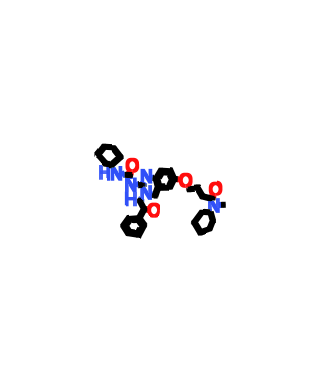 CN(C(=O)CCCOc1ccc2c(c1)CN(CC(=O)c1ccccc1)C(NC(=O)NC1CCCCC1)=N2)C1CCCCC1